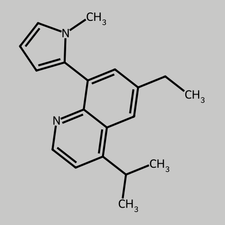 CCc1cc(-c2cccn2C)c2nccc(C(C)C)c2c1